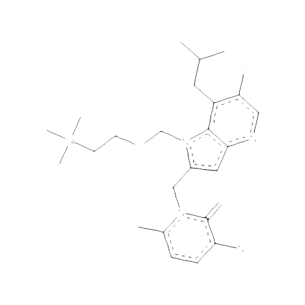 Cc1ccc(N)c(=O)n1Cc1cc2ncc(F)c(CC(C)C)c2n1COCC[Si](C)(C)C